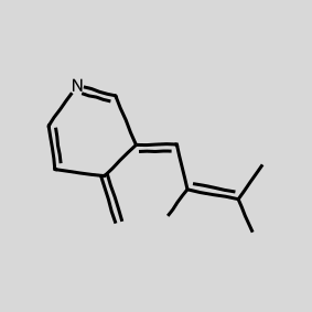 C=c1ccnc/c1=C/C(C)=C(C)C